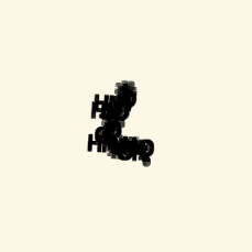 C/C=C/C(=O)N1CCN(Cc2c(O)ccc3[nH]c(C(=O)c4cc5c(o4)C=CC(NC(=O)Nc4cc(C(C)(C)C)on4)C5C)cc23)CC1